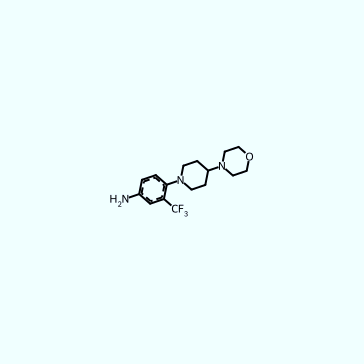 Nc1ccc(N2CCC(N3CCOCC3)CC2)c(C(F)(F)F)c1